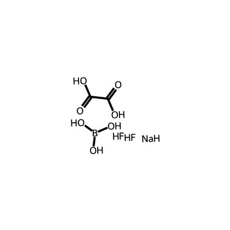 F.F.O=C(O)C(=O)O.OB(O)O.[NaH]